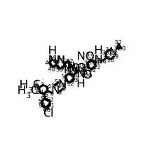 CC1(C)CCC(CN2CCN(c3ccc(C(=O)NS(=O)(=O)c4ccc(NCC5CCN(C6CC6)CC5)c(N=O)c4)c(-n4ncc5nc6[nH]ccc6cc54)c3)CC2)=C(c2ccc(Cl)cc2)C1